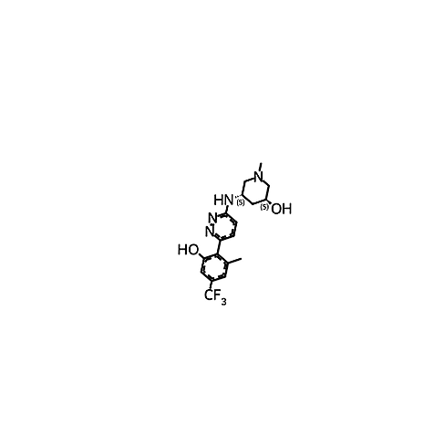 Cc1cc(C(F)(F)F)cc(O)c1-c1ccc(N[C@H]2C[C@H](O)CN(C)C2)nn1